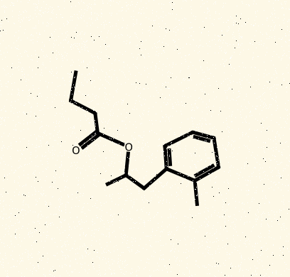 CCCC(=O)OC(C)Cc1ccccc1C